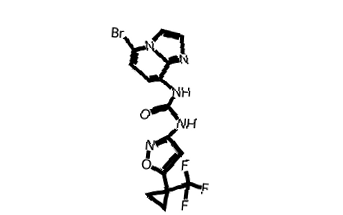 O=C(Nc1cc(C2(C(F)(F)F)CC2)on1)Nc1ccc(Br)n2ccnc12